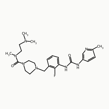 Cc1ccc(NC(=O)Nc2cccc(CN3CCN(C(=O)N(C)CCN(C)C)CC3)c2F)cn1